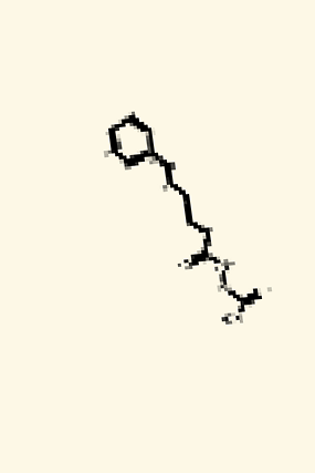 NC(=S)NNC(=O)CCCCCc1ccccc1